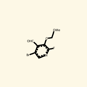 COCOc1c(F)ncc(Br)c1C=O